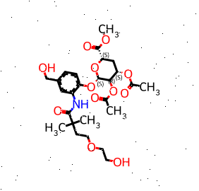 COC(=O)[C@@H]1C[C@H](OC(C)=O)[C@@H](OC(C)=O)[C@H](Oc2ccc(CO)cc2NC(=O)C(C)(C)CCOCCO)O1